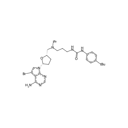 CC(C)N(CCCNC(=O)Nc1ccc(C(C)(C)C)cc1)C[C@@H]1CC[C@H](n2cc(Br)c3c(N)ncnc32)O1